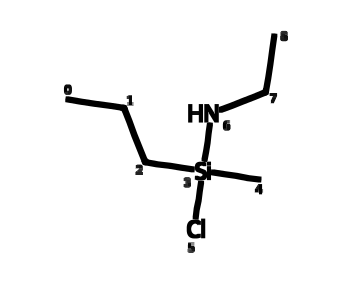 CCC[Si](C)(Cl)NCC